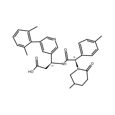 Cc1ccc([C@H](C(=O)N[C@@H](CC(=O)O)c2cncc(-c3c(C)cccc3C)c2)N2CC(C)CCC2=O)cc1